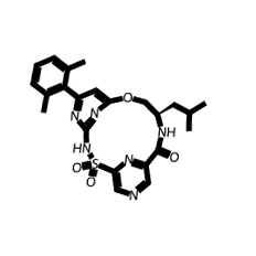 Cc1cccc(C)c1-c1cc2nc(n1)NS(=O)(=O)c1cncc(n1)C(=O)N[C@H](CC(C)C)CO2